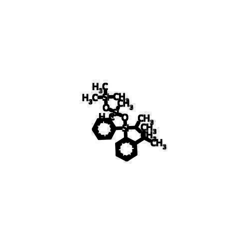 CC(C)c1ccccc1[Si](O[Si](C)(C)O[Si](C)(C)C)(c1ccccc1)C(C)C